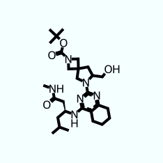 CNC(=O)C[C@H](CC(C)C)Nc1nc(N2CC3(CC2CO)CN(C(=O)OC(C)(C)C)C3)nc2c1CCCC2